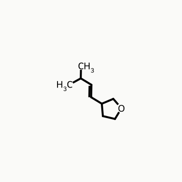 CC(C)/C=C/C1CCOC1